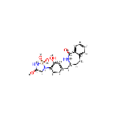 O=C1CN(c2ccc(CC3CCc4ccccc4C(=O)N3)cc2O)S(=O)(=O)N1